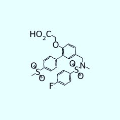 CN(Cc1ccc(OCC(=O)O)c(-c2ccc(S(C)(=O)=O)cc2)c1)S(=O)(=O)c1ccc(F)cc1